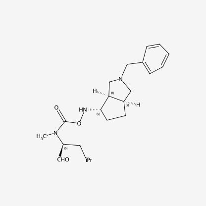 CC(C)C[C@@H](C=O)N(C)C(=O)ON[C@H]1CC[C@@H]2CN(Cc3ccccc3)C[C@@H]21